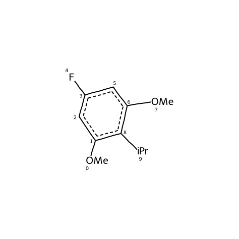 COc1cc(F)cc(OC)c1C(C)C